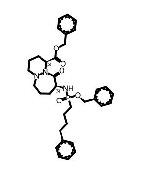 O=C(OCc1ccccc1)[C@@H]1CCCN2CCC[C@H](NP(=O)(CCCCc3ccccc3)OCc3ccccc3)C(=O)N12